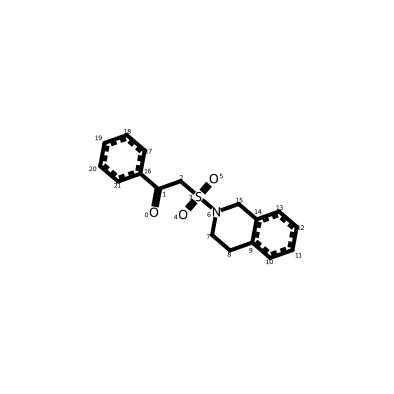 O=C(CS(=O)(=O)N1CCc2ccccc2C1)c1ccccc1